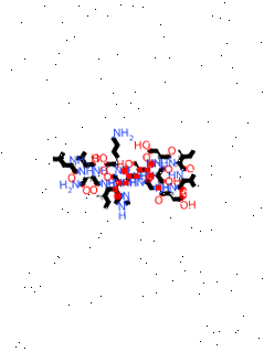 CC[C@H](C)[C@H](NC(=O)[C@H](CC(N)=O)NC(=O)[C@@H](NC(=O)[C@@H](N)CC(C)C)C(C)C)C(=O)NCC(=O)N[C@@H](CO)C(=O)N[C@H](C(=O)N[C@@H](CC(=O)O)C(=O)N[C@H](C(=O)N[C@H](C(=O)N[C@@H](CC(=O)O)C(=O)NCC(=O)N[C@@H](CC(N)=O)C(=O)N[C@@H](Cc1c[nH]cn1)C(=O)N[C@@H](CCCCN)C(=O)O)C(C)C)[C@@H](C)CC)[C@@H](C)O